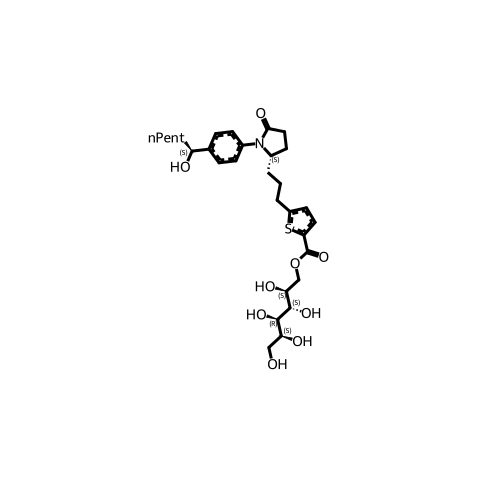 CCCCC[C@H](O)c1ccc(N2C(=O)CC[C@@H]2CCCc2ccc(C(=O)OC[C@H](O)[C@H](O)[C@H](O)[C@@H](O)CO)s2)cc1